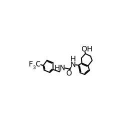 O=C(NCc1ccc(C(F)(F)F)cc1)Nc1cccc2c1CC(O)CC2